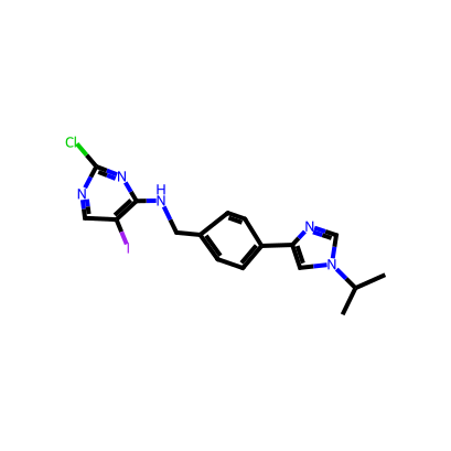 CC(C)n1cnc(-c2ccc(CNc3nc(Cl)ncc3I)cc2)c1